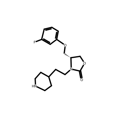 O=C1OC[C@@H](COc2cccc(F)c2)N1CCC1CCNCC1